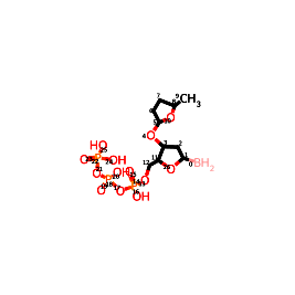 BC1CC(OC2CCC(C)O2)C(COP(=O)(O)OP(=O)(O)OP(=O)(O)O)O1